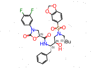 CC[C@H](C)CN(C[C@@H](O)[C@H](Cc1ccccc1)NC(=O)[C@@H]1CN(c2ccc(F)c(F)c2)C(=O)O1)S(=O)(=O)c1ccc2c(c1)OCO2